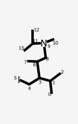 CC(C)C(CI)C(C)CN(C)C(C)C